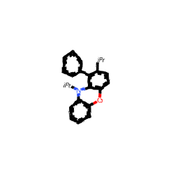 CC(C)c1ccc2c(c1-c1ccccc1)N(C(C)C)c1ccccc1O2